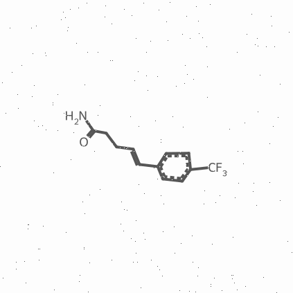 NC(=O)CCC=Cc1ccc(C(F)(F)F)cc1